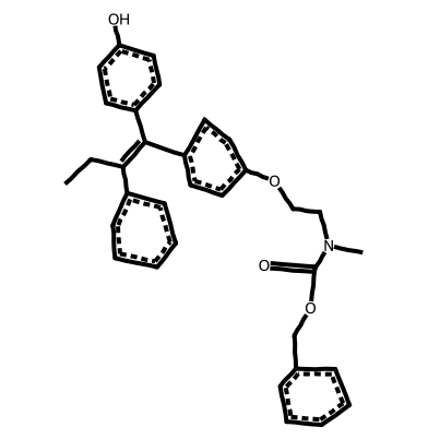 CC/C(=C(\c1ccc(O)cc1)c1ccc(OCCN(C)C(=O)OCc2ccccc2)cc1)c1ccccc1